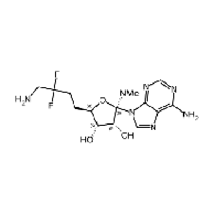 CN[C@@]1(n2cnc3c(N)ncnc32)O[C@H](CCC(F)(F)CN)[C@@H](O)[C@H]1O